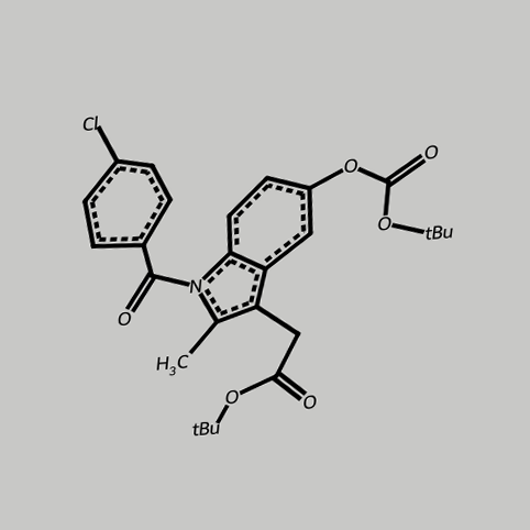 Cc1c(CC(=O)OC(C)(C)C)c2cc(OC(=O)OC(C)(C)C)ccc2n1C(=O)c1ccc(Cl)cc1